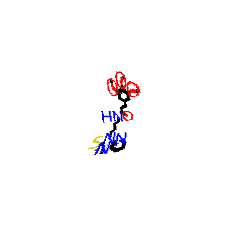 COc1cc(/C=C/C(=O)NCCCCN2C(=S)[N+](C)(C)c3cccnc32)cc(OC)c1OC